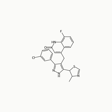 CC1N=CSC1c1[nH]nc(-c2cccc(Cl)c2)c1Cc1cc(=O)[nH]c2c(F)cccc12